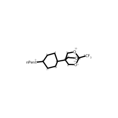 CCCCCC1CCC(C23COC(C(F)(F)F)(OC2)OC3)CC1